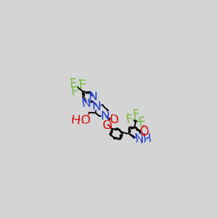 O=C(Oc1cccc(-c2c[nH]c(=O)c(C(F)(F)F)c2)c1)N1CCN(c2ncc(C(F)(F)F)cn2)C(CO)C1